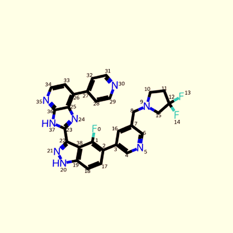 Fc1c(-c2cncc(CN3CCC(F)(F)C3)c2)ccc2[nH]nc(-c3nc4c(-c5ccncc5)ccnc4[nH]3)c12